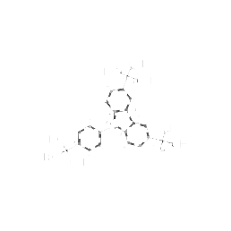 CC(C)(C)c1ccc(-n2c3ccc(C(C)(C)C)cc3c3cc(C(C)(C)C)ccc32)cc1